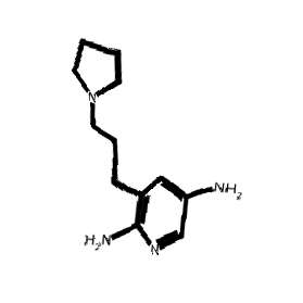 Nc1cnc(N)c(CCCN2CCCC2)c1